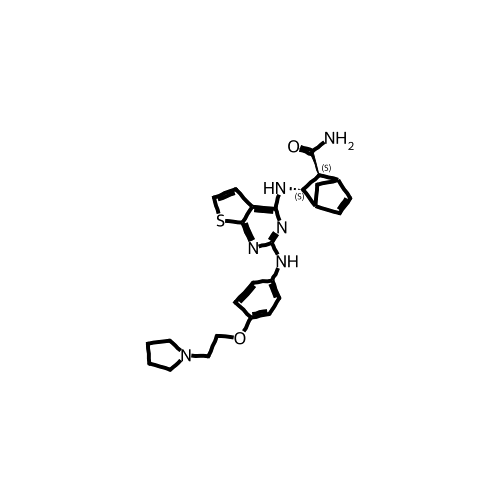 NC(=O)[C@H]1C2C=CC(C2)[C@@H]1Nc1nc(Nc2ccc(OCCN3CCCC3)cc2)nc2sccc12